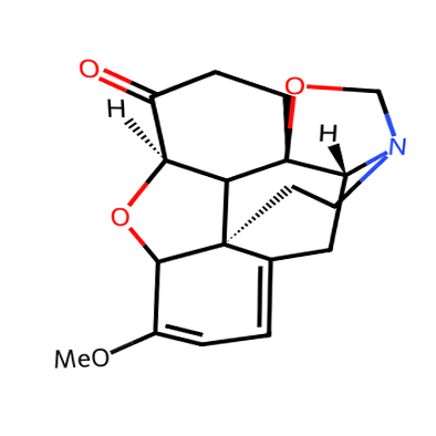 COC1=CC=C2C[C@H]3N4CC[C@@]25C1O[C@H]1C(=O)CC[C@]3(OC4)C15